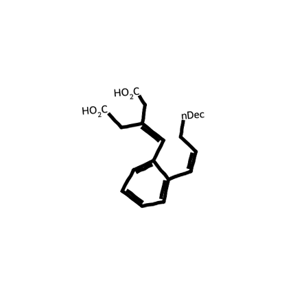 CCCCCCCCCCC/C=C\c1ccccc1C=C(CC(=O)O)CC(=O)O